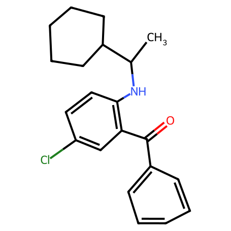 CC(Nc1ccc(Cl)cc1C(=O)c1ccccc1)C1CCCCC1